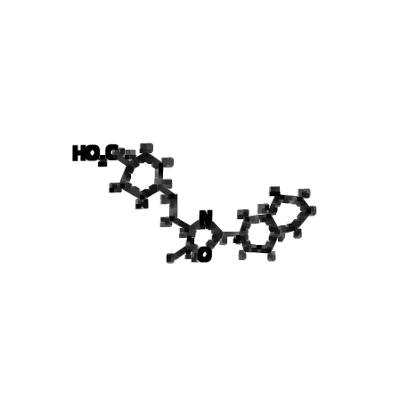 Cc1oc(-c2ccc3ccccc3c2)nc1C=Cc1ccc(C(=O)O)cc1